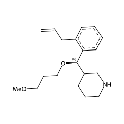 C=CCc1ccccc1[C@H](OCCCOC)C1CCCNC1